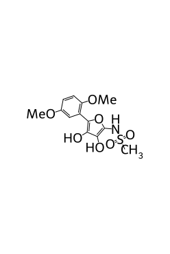 COc1ccc(OC)c(-c2oc(NS(C)(=O)=O)c(O)c2O)c1